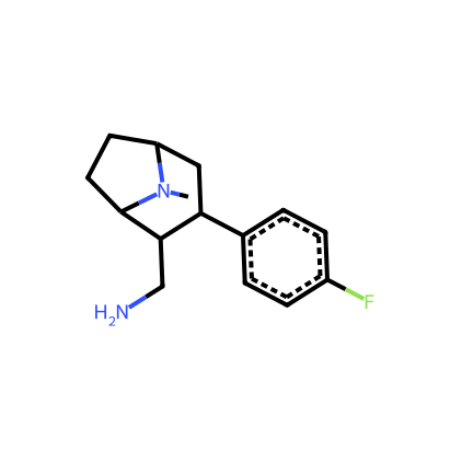 CN1C2CCC1C(CN)C(c1ccc(F)cc1)C2